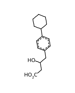 O=C(O)CC(O)Cc1ccc(C2CCCCC2)cc1